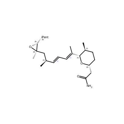 CCC[C@@H](C)[C@H]1O[C@]1(C)C[C@H](C)/C=C/C=C(\C)[C@H]1O[C@@H](CC(N)=O)CC[C@@H]1C